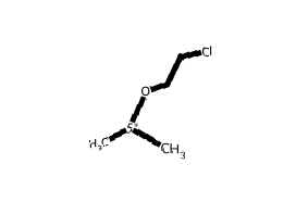 C[S+](C)OCCCl